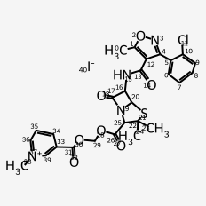 Cc1onc(-c2ccccc2Cl)c1C(=O)NC1C(=O)N2C1SC(C)(C)C2C(=O)OCOC(=O)c1ccc[n+](C)c1.[I-]